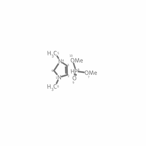 CN1C=CN(C)C1.CO[PH](=O)OC